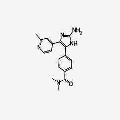 Cc1cc(-c2nc(N)[nH]c2-c2ccc(C(=O)N(C)C)cc2)ccn1